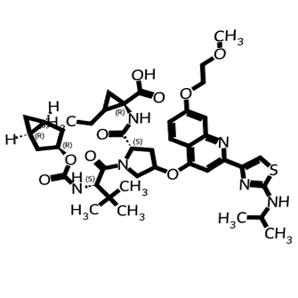 CCC1C[C@]1(NC(=O)[C@@H]1CC(Oc2cc(-c3csc(NC(C)C)n3)nc3cc(OCCOC)ccc23)CN1C(=O)[C@@H](NC(=O)O[C@@H]1C[C@@H]2C[C@@H]2C1)C(C)(C)C)C(=O)O